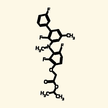 Cc1cc(-c2cccc(F)c2)c(F)c(N(C)c2c(F)ccc(OCC(=O)OC(C)C)c2F)c1